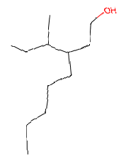 CCCCCC(CCO)C(C)CC